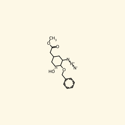 COC(=O)CC1CC(N=[N+]=[N-])C(OCc2ccccc2)[C@H](O)C1